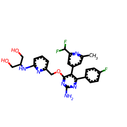 Cc1cc(-c2c(OCc3cccc(NC(CO)CO)n3)nc(N)nc2-c2ccc(F)cc2)cc(C(F)F)n1